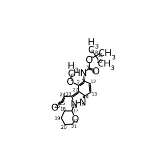 COc1c(NC(=O)OC(C)(C)C)ccc2nn(C3CCCCO3)c(C=C=O)c12